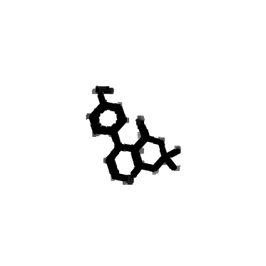 COc1ccc(C2C=COC3=C2C(=O)CC(C)(C)C3)cc1